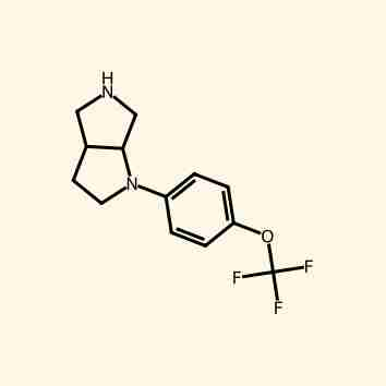 FC(F)(F)Oc1ccc(N2CCC3CNCC32)cc1